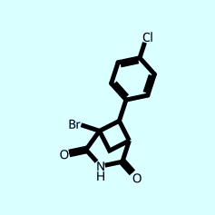 O=C1NC(=O)C2(Br)CC1C2c1ccc(Cl)cc1